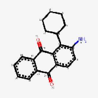 Nc1ccc2c(c1C1CCCCC1)C(=O)c1ccccc1C2=O